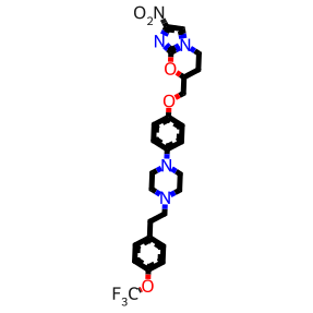 O=[N+]([O-])c1cn2c(n1)OC(COc1ccc(N3CCN(CCc4ccc(OC(F)(F)F)cc4)CC3)cc1)CC2